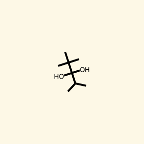 CC(C)C(O)(O)C(C)(C)C